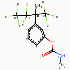 CNC(=O)Oc1cccc(C(C)(C(F)(F)F)C(F)(F)C(F)(F)F)c1